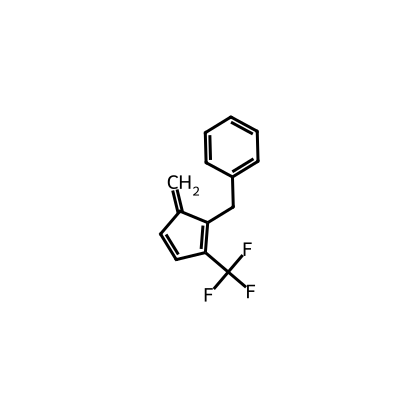 C=C1C=CC(C(F)(F)F)=C1Cc1ccccc1